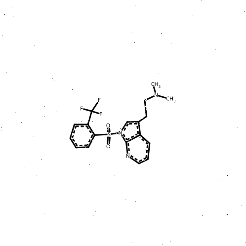 CN(C)CCc1cn(S(=O)(=O)c2ccccc2C(F)(F)F)c2ncccc12